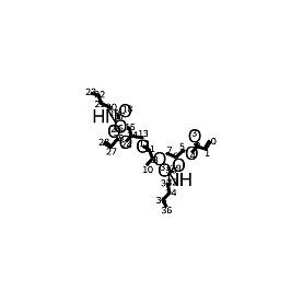 C=CC(=O)OCC(COC(C)COCC(COC(=O)NCCCC)OC(=O)C=C)OC(=O)NCCCC